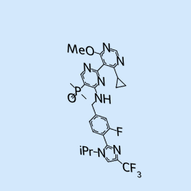 COc1ncnc(C2CC2)c1-c1ncc(P(C)(C)=O)c(NCc2ccc(-c3nc(C(F)(F)F)cn3C(C)C)c(F)c2)n1